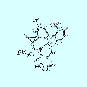 CCOC(=O)[C@H](C1CC1)N1C(=O)[C@@H](CC(=O)O)C[C@H](c2cccc(Cl)c2)[C@H]1c1ccc(Cl)cc1